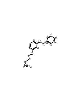 NCCCOc1cccc(OCc2ccccc2)c1